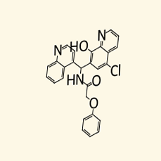 O=C(COc1ccccc1)NC(c1cc(Cl)c2cccnc2c1O)c1ccnc2ccccc12